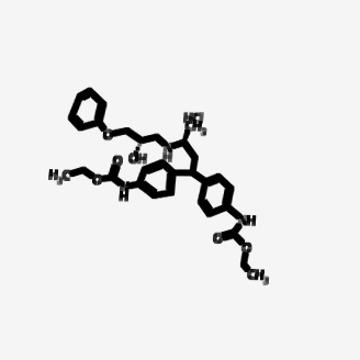 CCOC(=O)Nc1ccc(C(C[C@H](C)NC[C@H](O)COc2ccccc2)c2ccc(NC(=O)OCC)cc2)cc1.Cl